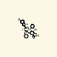 COc1ccc2[nH]c(C(=O)N[C@@H](CC3CCCCC3)C(=O)N[C@H]3C[C@H]4C(=O)NCC4=C(NC4CCCCC4)C3=O)cc2c1